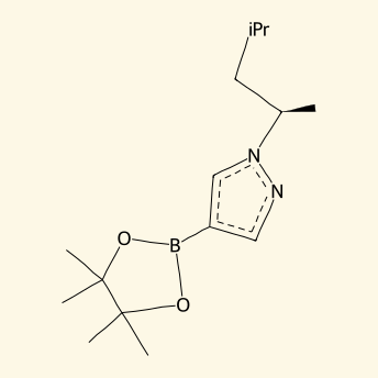 CC(C)C[C@@H](C)n1cc(B2OC(C)(C)C(C)(C)O2)cn1